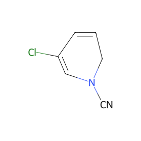 N#CN1C=C(Cl)C=CC1